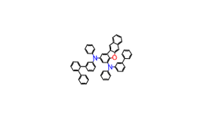 c1ccc(-c2cccc(N(c3ccccc3)c3cc(N(c4ccccc4)c4cccc(-c5ccccc5-c5ccccc5)c4)cc4c3oc3cc5ccccc5cc34)c2)cc1